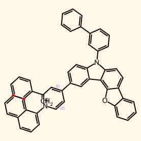 C=C(/C=C(\C=C/Nc1cccc2ccccc12)c1ccc2c(c1)c1c3oc4ccccc4c3ccc1n2-c1cccc(-c2ccccc2)c1)c1ccccc1